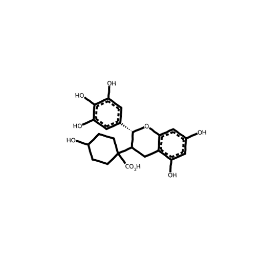 O=C(O)C1(C2Cc3c(O)cc(O)cc3O[C@H]2c2cc(O)c(O)c(O)c2)CCC(O)CC1